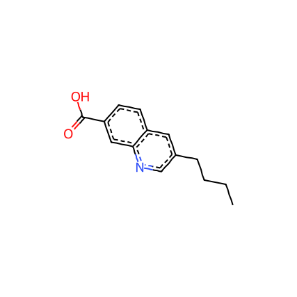 CCCCc1cnc2cc(C(=O)O)ccc2c1